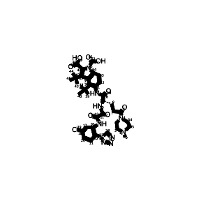 CN1CCN(C(=O)CC[C@H](NC(=O)C(=O)Nc2cc(Cl)ccc2-n2cnnn2)C(=O)Nc2ccc3c(c2C(C)(C)C)c(C(C)(C)C)c(C(=O)O)n3C(=O)O)CC1